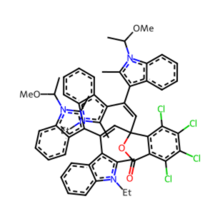 CCn1c(C)c(/C(=C\C2(/C=C(\c3c(C)n(CC)c4ccccc34)c3c(C)n(C(C)OC)c4ccccc34)OC(=O)c3c(Cl)c(Cl)c(Cl)c(Cl)c32)c2c(C)n(C(C)OC)c3ccccc23)c2ccccc21